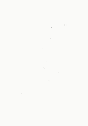 Cc1cn(-c2ccc(Nc3nc(C)cn3-c3ccc([N+](=O)[O-])cc3F)cc2F)cn1